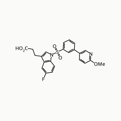 COc1ccc(-c2cccc(S(=O)(=O)n3cc(CCC(=O)O)c4cc(F)ccc43)c2)cn1